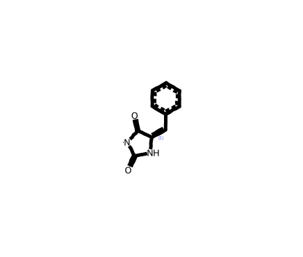 O=C1[N]C(=O)/C(=C\c2ccccc2)N1